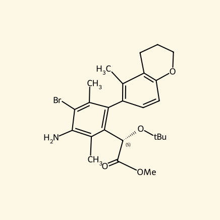 COC(=O)[C@@H](OC(C)(C)C)c1c(C)c(N)c(Br)c(C)c1-c1ccc2c(c1C)CCCO2